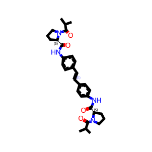 CC(C)C(=O)N1CCC[C@H]1C(=O)Nc1ccc(/C=C/c2ccc(NC(=O)[C@@H]3CCCN3C(=O)C(C)C)cc2)cc1